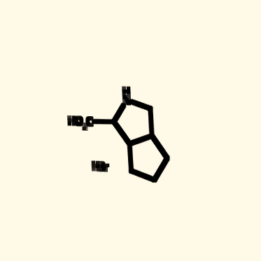 Br.O=C(O)C1NCC2CCCC21